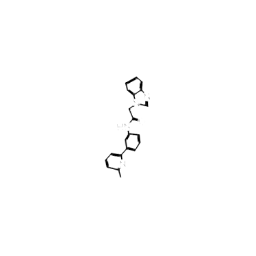 Cc1cccc(-c2cccc(NC(=O)Cn3cnc4ccccc43)c2)n1